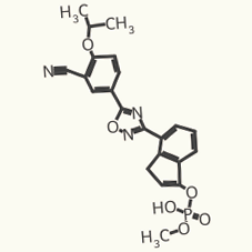 COP(=O)(O)OC1=CCc2c1cccc2-c1noc(-c2ccc(OC(C)C)c(C#N)c2)n1